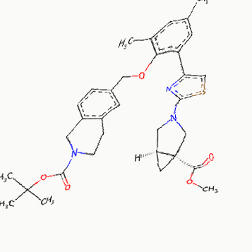 COC(=O)[C@]12C[C@H]1CN(c1nc(-c3cc(C)cc(C)c3OCc3ccc4c(c3)CCN(C(=O)OC(C)(C)C)C4)cs1)C2